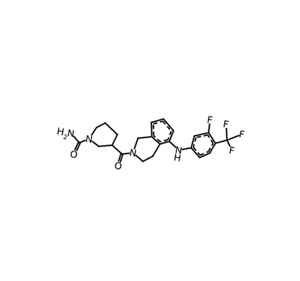 NC(=O)N1CCCC(C(=O)N2CCc3c(cccc3Nc3ccc(C(F)(F)F)c(F)c3)C2)C1